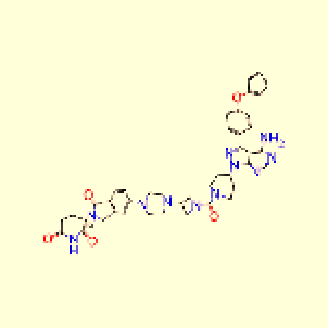 Nc1ncnc2c1c(-c1ccc(Oc3ccccc3)cc1)nn2C1CCN(C(=O)N2CC(N3CCN(c4ccc5c(c4)CN([C@H]4CCC(=O)NC4=O)C5=O)CC3)C2)CC1